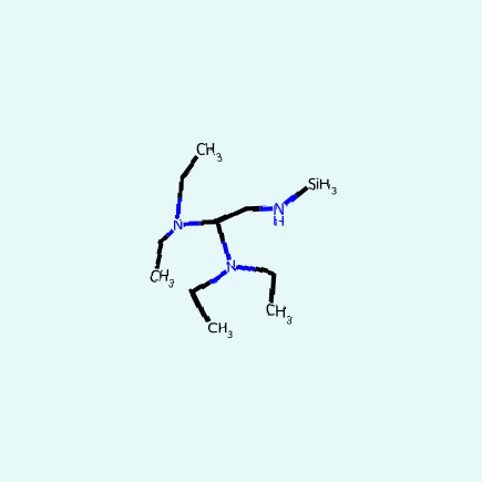 CCN(CC)C(CN[SiH3])N(CC)CC